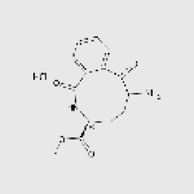 COC(=O)[C@@H]1CCC(N)C(=O)c2ccccc2C(=O)N1.Cl